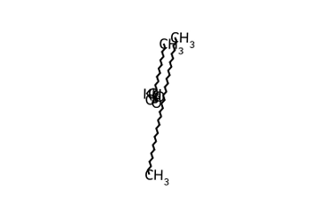 CCCCCCCCCCCCCCCCCC(CCCCCCCCCCCCCCCC)OS(=O)(=O)OCCCCCCCCCCCC.[KH]